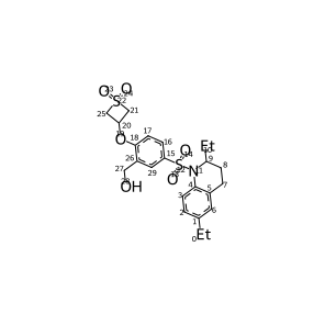 CCc1ccc2c(c1)CCC(CC)N2S(=O)(=O)c1ccc(OC2CS(=O)(=O)C2)c(CO)c1